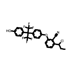 CCC(Cl)c1cccc(Oc2ccc(C(c3ccc(O)cc3)(C(F)(F)F)C(F)(F)F)cc2)c1C#N